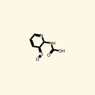 O=S=C1C=CC=NC1NC(=O)O